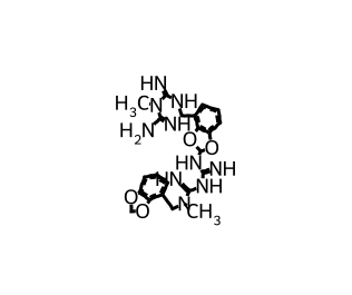 CN(Cc1cccc2c1OCO2)C(=N)NC(=N)NC1Oc2cccc(CNC(=N)N(C)C(=N)N)c2O1